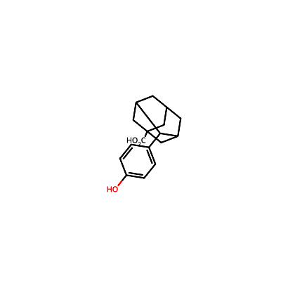 O=C(O)C12CC3CC(C1)C(c1ccc(O)cc1)C(C3)C2